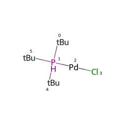 CC(C)(C)[PH]([Pd][Cl])(C(C)(C)C)C(C)(C)C